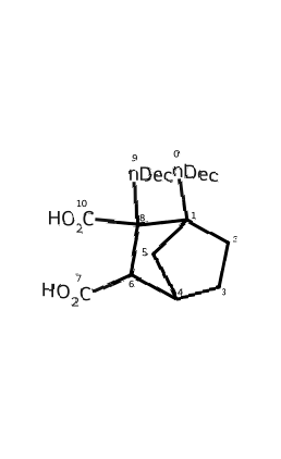 CCCCCCCCCCC12CCC(C1)C(C(=O)O)C2(CCCCCCCCCC)C(=O)O